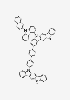 c1ccc2cc(-n3c4ccccc4c4c(-n5c6ccc(-c7ccc(-c8ccc(-n9c%10ccccc%10c%10cc%11sc%12ccccc%12c%11cc%109)cc8)cc7)cc6c6cc7sc8ccccc8c7cc65)cccc43)ccc2c1